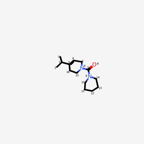 CC(C)C1=CCN(C(=O)N2CCCCC2)CC1